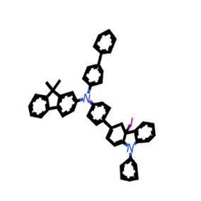 CC1(C)c2ccccc2-c2ccc(N(c3ccc(C4=CC=C5N(c6ccccc6)c6ccccc6C5(I)C4)cc3)c3ccc(-c4ccccc4)cc3)cc21